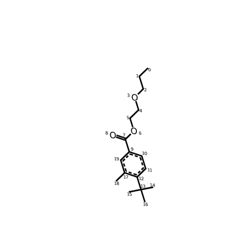 CCCOCCOC(=O)c1ccc(C(C)(C)C)c(C)c1